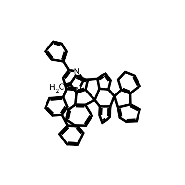 C=C1C=CC2=C1C1=C(C=CCC=C1)C21c2ccccc2C2(C3=C(C=CCC3)c3ccccc32)C2C=CC=C(c3nc(-c4ccccc4)cc(-c4cccc(-c5ccccc5)c4)n3)C21